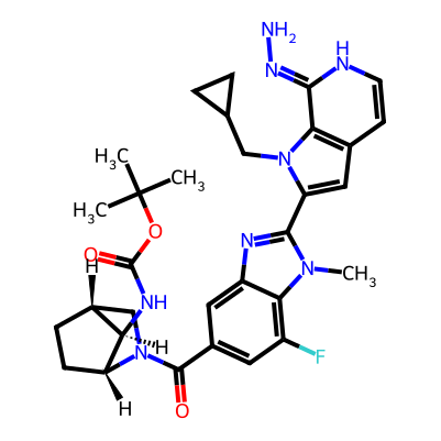 Cn1c(-c2cc3cc[nH]/c(=N\N)c3n2CC2CC2)nc2cc(C(=O)N3C[C@H]4CC[C@@H]3[C@@H]4NC(=O)OC(C)(C)C)cc(F)c21